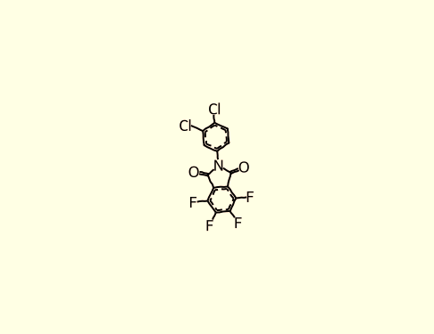 O=C1c2c(F)c(F)c(F)c(F)c2C(=O)N1c1ccc(Cl)c(Cl)c1